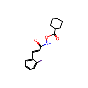 O=C(C=Cc1ccccc1I)NOC(=O)C1CCCCC1